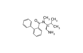 CC(C)[C@@H](CN)N(C)C(=O)c1ccccc1-c1ccccc1